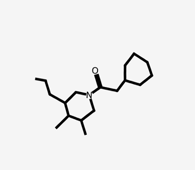 CCCC1CN(C(=O)CC2CCCCC2)CC(C)C1C